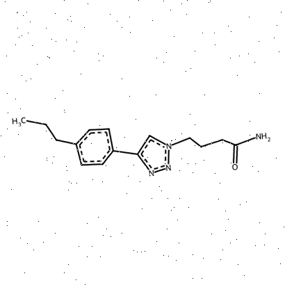 CCCc1ccc(-c2cn(CCCC(N)=O)nn2)cc1